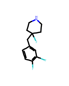 Fc1ccc(CC2(F)CCNCC2)cc1F